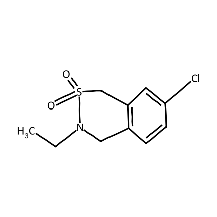 CCN1Cc2ccc(Cl)cc2CS1(=O)=O